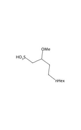 CCCCCCCCC(CS(=O)(=O)O)OC